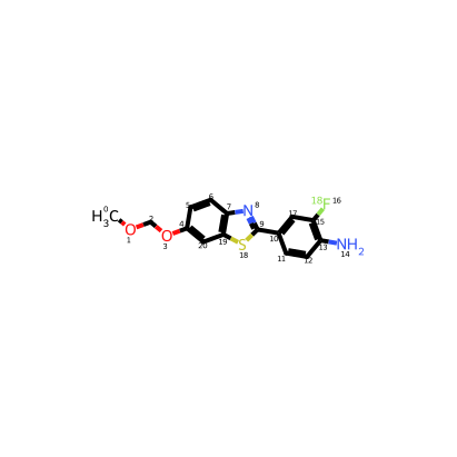 COCOc1ccc2nc(-c3ccc(N)c([18F])c3)sc2c1